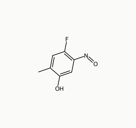 Cc1cc(F)c(N=O)cc1O